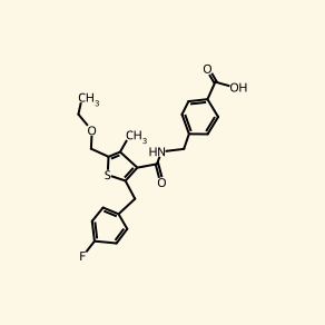 CCOCc1sc(Cc2ccc(F)cc2)c(C(=O)NCc2ccc(C(=O)O)cc2)c1C